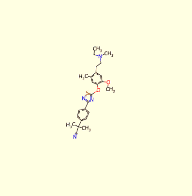 CCN(C)CCc1cc(OC)c(Oc2nc(-c3ccc(C(C)(C)C#N)cc3)ns2)cc1C